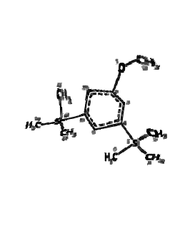 COc1cc([Si](C)(C)C)cc([Si](C)(C)C)c1